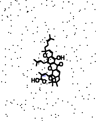 CC(C)=CCCC1(C)C=Cc2c(O)c3c(c(CC=C(C)C)c2O1)OC1C(=CC2CC(C)C(C)(C)OC1(C/C=C(/C)C(=O)O)C2=O)C3=O